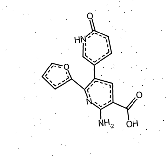 Nc1nc(-c2ccco2)c(-c2ccc(=O)[nH]c2)cc1C(=O)O